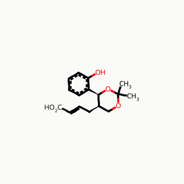 CC1(C)OC[C@@H](C/C=C/C(=O)O)[C@@H](c2ccccc2O)O1